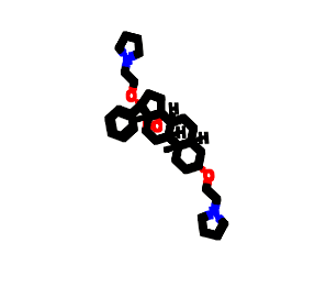 C[C@]12CC[C@H](OCCN3CCCC3)C[C@@H]1CC[C@@H]1[C@@H]2CC[C@]2(C)[C@@](OCCN3CCCC3)(c3ccccc3)CC[C@]12O